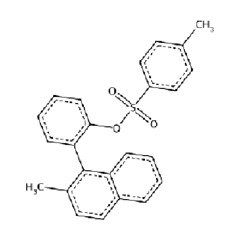 Cc1ccc(S(=O)(=O)Oc2ccccc2-c2c(C)ccc3ccccc23)cc1